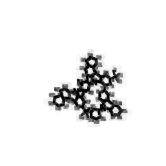 CC(C)(C)c1cc(-c2ccc3c(c2)c2ccccc2n3-c2ccccc2)c2c(c1)c1c3ccccc3cc3c4nc5c(cc4n2c31)c1cc(C(C)(C)C)cc2c3c4ccccc4ccc3n5c12